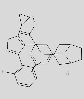 COC(=O)c1cc(N2C3CC[C@H]2CC(OCc2c(-c4c(F)cccc4F)noc2C2CC2)C3)nc(Cl)n1